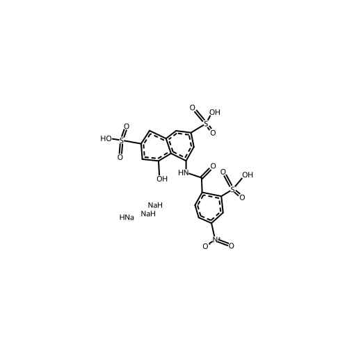 O=C(Nc1cc(S(=O)(=O)O)cc2cc(S(=O)(=O)O)cc(O)c12)c1ccc([N+](=O)[O-])cc1S(=O)(=O)O.[NaH].[NaH].[NaH]